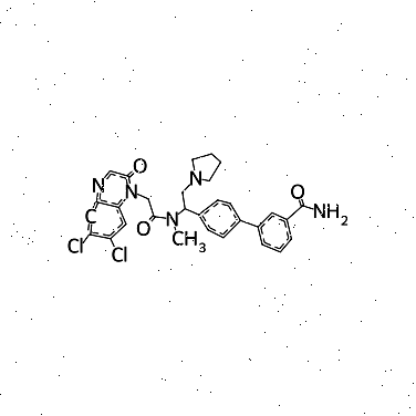 CN(C(=O)Cn1c(=O)cnc2cc(Cl)c(Cl)cc21)C(CN1CCCC1)c1ccc(-c2cccc(C(N)=O)c2)cc1